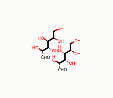 O=C[C@H](O)[C@@H](O)[C@@H](O)[C@H](O)CO.O=C[C@H](O)[C@@H](O)[C@H](O)[C@H](O)CO